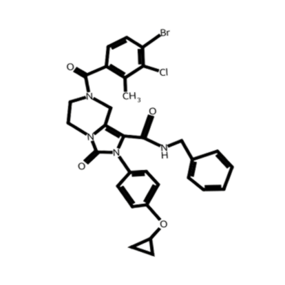 Cc1c(C(=O)N2CCn3c(c(C(=O)NCc4ccccc4)n(-c4ccc(OC5CC5)cc4)c3=O)C2)ccc(Br)c1Cl